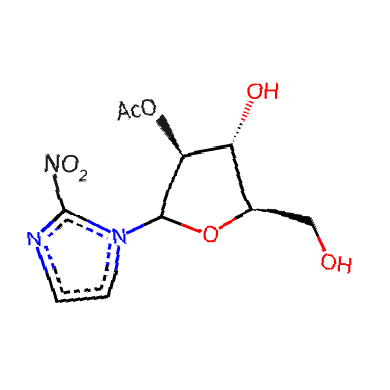 CC(=O)O[C@@H]1C(n2ccnc2[N+](=O)[O-])O[C@H](CO)[C@H]1O